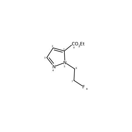 CCOC(=O)c1ccnn1CCF